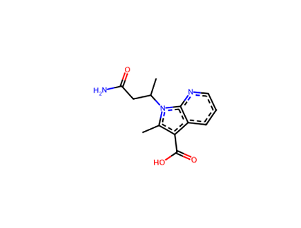 Cc1c(C(=O)O)c2cccnc2n1C(C)CC(N)=O